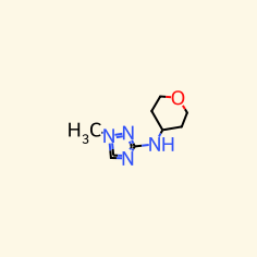 Cn1cnc(NC2CCOCC2)n1